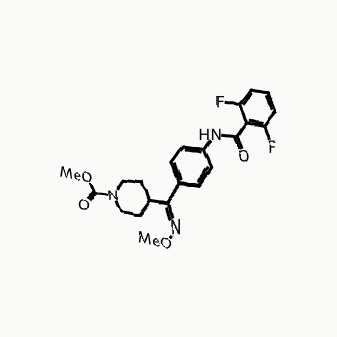 CON=C(c1ccc(NC(=O)c2c(F)cccc2F)cc1)C1CCN(C(=O)OC)CC1